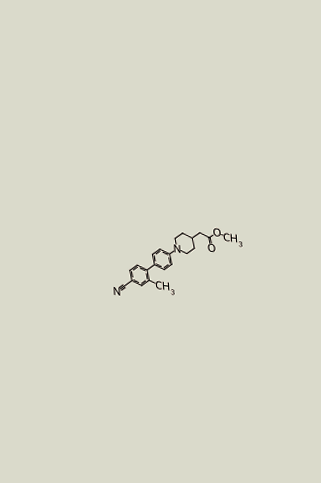 COC(=O)CC1CCN(c2ccc(-c3ccc(C#N)cc3C)cc2)CC1